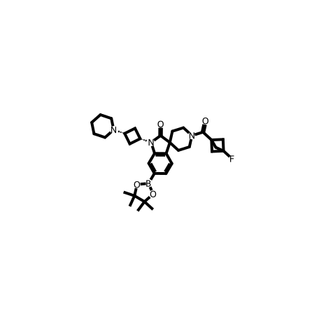 CC1(C)OB(c2ccc3c(c2)N([C@H]2C[C@@H](N4CCCCC4)C2)C(=O)C32CCN(C(=O)C34CC(F)(C3)C4)CC2)OC1(C)C